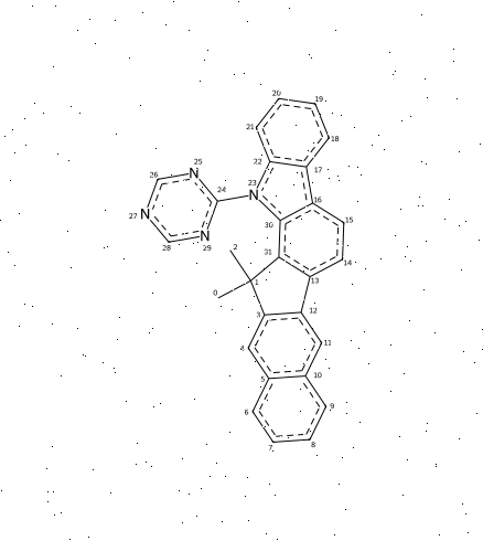 CC1(C)c2cc3ccccc3cc2-c2ccc3c4ccccc4n(-c4ncncn4)c3c21